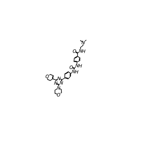 CN(C)CCNC(=O)c1ccc(NC(=O)Nc2ccc(-c3nc(C4=CCOCC4)nc(N4CCOCC4)n3)cc2)cc1